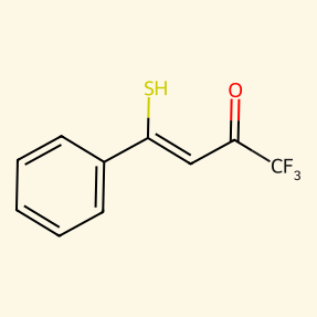 O=C(C=C(S)c1ccccc1)C(F)(F)F